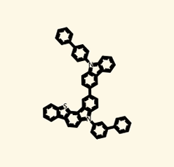 c1ccc(-c2ccc(-n3c4ccccc4c4cc(-c5ccc6c(c5)c5c7sc8ccccc8c7ccc5n6-c5cccc(-c6ccccc6)c5)ccc43)cc2)cc1